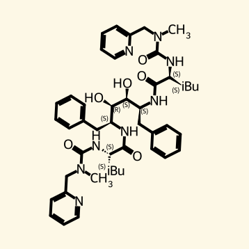 CC[C@H](C)[C@H](NC(=O)N(C)Cc1ccccn1)C(=O)N[C@@H](Cc1ccccc1)[C@H](O)[C@H](O)[C@H](Cc1ccccc1)NC(=O)[C@@H](NC(=O)N(C)Cc1ccccn1)[C@@H](C)CC